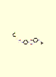 O=C(Nc1ccc(-n2c(=O)[nH]c3cc(NC4CC4)ccc3c2=O)c(Cl)c1)NS(=O)(=O)c1ccc(Cl)s1